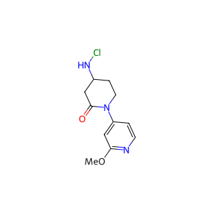 COc1cc(N2CCC(NCl)CC2=O)ccn1